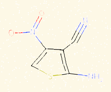 N#Cc1c([N+](=O)[O-])csc1N